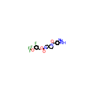 O=C(OCc1cc(F)cc(OC(F)(F)F)c1)N1CCC2(CCCN(C(=O)c3ccc4[nH]nnc4c3)C2)C1